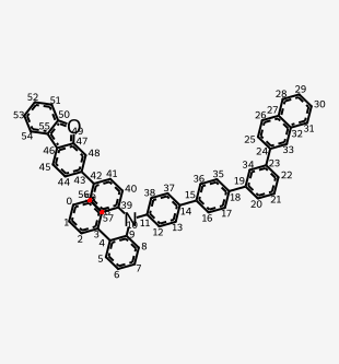 c1ccc(-c2ccccc2N(c2ccc(-c3ccc(-c4cccc(-c5ccc6ccccc6c5)c4)cc3)cc2)c2ccc(-c3ccc4c(c3)oc3ccccc34)cc2)cc1